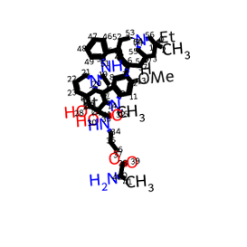 CCC1(C)C[C@@H]2CC(c3cc4c(cc3OC)N(C)C3[C@]45CCN4CC=C[C@](CC)(C45)[C@@H](O)[C@]3(O)C(=O)NCCCOC(=O)C(C)N)=C=C(c3ccccc3N)CC[N@@](C2)C1